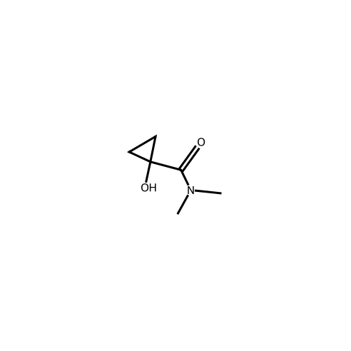 CN(C)C(=O)C1(O)CC1